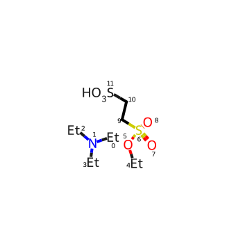 CCN(CC)CC.CCOS(=O)(=O)CCS(=O)(=O)O